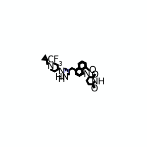 N=C/C(=C\NC1CCN(CC2(C(F)(F)F)CC2)CC1)Cc1ccc2c3c(cccc13)C(=O)N2C1CCC(=O)NC1=O